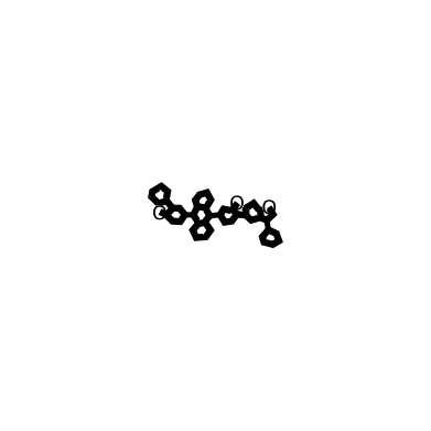 c1ccc(-c2coc3cc4oc5cc(-c6c7ccccc7c(-c7ccc8oc9ccccc9c8c7)c7ccccc67)ccc5c4cc23)cc1